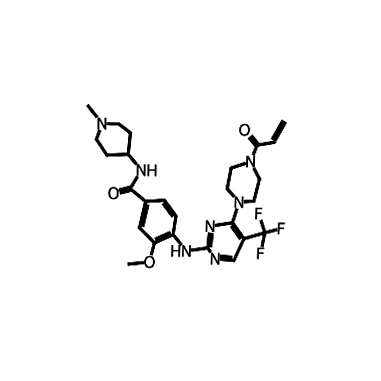 C=CC(=O)N1CCN(c2nc(Nc3ccc(C(=O)NC4CCN(C)CC4)cc3OC)ncc2C(F)(F)F)CC1